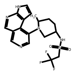 CC1CCC(NS(=O)(=O)CC(F)(F)F)CN1c1cncc2cnc3[nH]ccc3c12